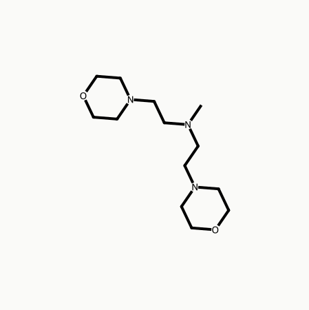 CN(CCN1CCOCC1)CCN1CCOCC1